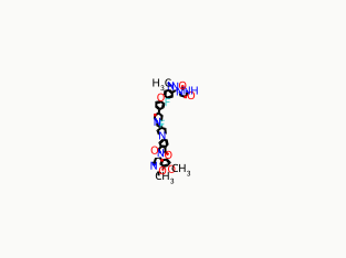 CCOc1cc([C@@H](CC#N)N2C(=O)c3ccc(N4CCC(F)(CN5CCC(c6ccc(Oc7cc8c(cc7F)c(N7CCC(=O)NC7=O)nn8C)cc6)CC5)CC4)cc3C2=O)ccc1OC